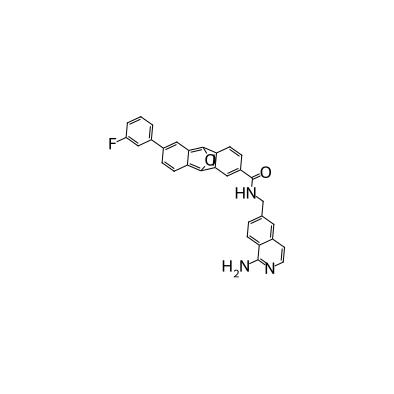 Nc1nccc2cc(CNC(=O)c3ccc4c(c3)c3oc4c4cc(-c5cccc(F)c5)ccc43)ccc12